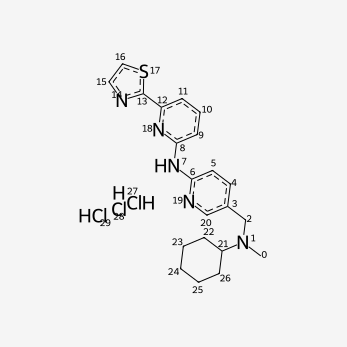 CN(Cc1ccc(Nc2cccc(-c3nccs3)n2)nc1)C1CCCCC1.Cl.Cl.Cl